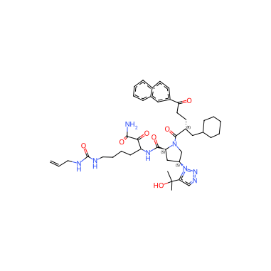 C=CCNC(=O)NCCCCC(NC(=O)[C@@H]1C[C@H](n2nncc2C(C)(C)O)CN1C(=O)[C@H](CCC(=O)c1ccc2ccccc2c1)CC1CCCCC1)C(=O)C(N)=O